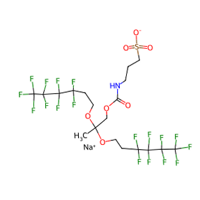 CC(COC(=O)NCCCS(=O)(=O)[O-])(OCCC(F)(F)C(F)(F)C(F)(F)C(F)(F)F)OCCC(F)(F)C(F)(F)C(F)(F)C(F)(F)F.[Na+]